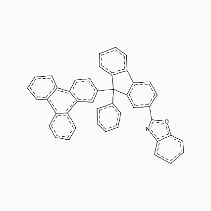 c1ccc(C2(c3ccc4c5ccccc5c5ccccc5c4c3)c3ccccc3-c3ccc(-c4nc5ccccc5o4)cc32)cc1